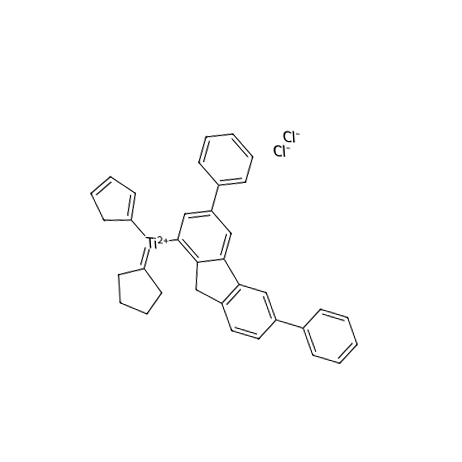 C1=CC[C]([Ti+2](=[C]2CCCC2)[c]2cc(-c3ccccc3)cc3c2Cc2ccc(-c4ccccc4)cc2-3)=C1.[Cl-].[Cl-]